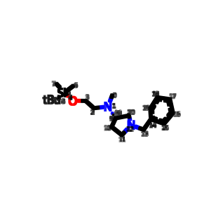 CN(CCO[Si](C)(C)C(C)(C)C)[C@H]1CCN(Cc2ccccc2)C1